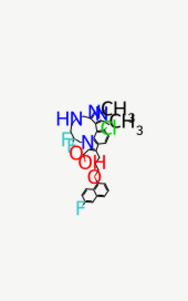 CCc1c2c(nn1C)CNCCC(F)(F)Cn1c(C(=O)O)c(CCCOc3cccc4cc(F)ccc34)c3ccc(Cl)c-2c31